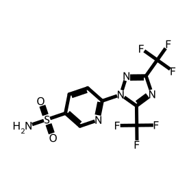 NS(=O)(=O)c1ccc(-n2nc(C(F)(F)F)nc2C(F)(F)F)nc1